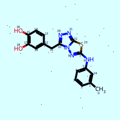 Cc1cccc(Nc2nn3c(Cc4ccc(O)c(O)c4)nnc3s2)c1